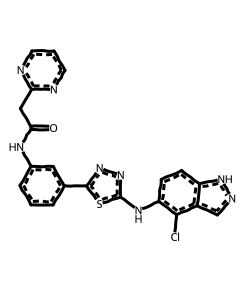 O=C(Cc1ncccn1)Nc1cccc(-c2nnc(Nc3ccc4[nH]ncc4c3Cl)s2)c1